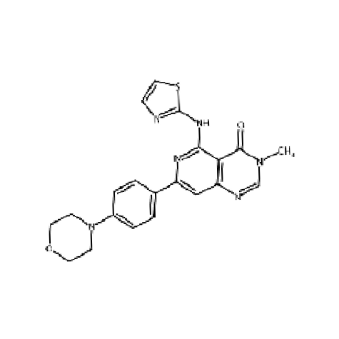 Cn1cnc2cc(-c3ccc(N4CCOCC4)cc3)nc(Nc3nccs3)c2c1=O